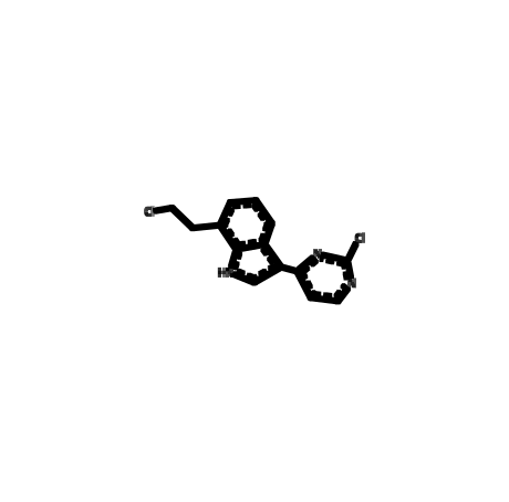 ClCCc1cccc2c(-c3ccnc(Cl)n3)c[nH]c12